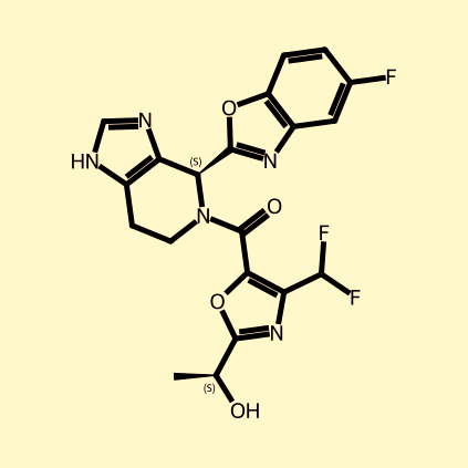 C[C@H](O)c1nc(C(F)F)c(C(=O)N2CCc3[nH]cnc3[C@H]2c2nc3cc(F)ccc3o2)o1